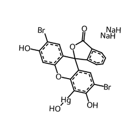 O=C1OC2(c3cc(Br)c(O)cc3Oc3c2cc(Br)c(O)[c]3[Hg][OH])c2ccccc21.[NaH].[NaH]